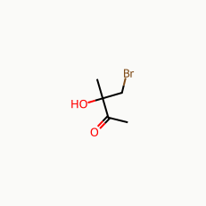 CC(=O)C(C)(O)CBr